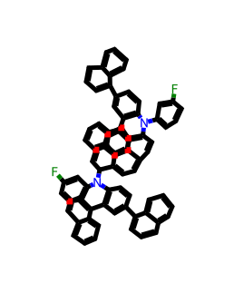 Fc1cccc(N(C2=C3C=CC4=C5C(=CC=C(C=C2)C35)C(N(c2cccc(F)c2)c2ccc(-c3cccc5ccccc35)cc2-c2cccc3ccccc23)C=C4)c2ccc(-c3cccc4ccccc34)cc2-c2cccc3ccccc23)c1